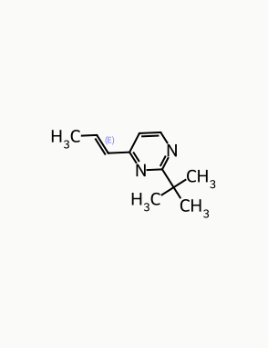 C/C=C/c1ccnc(C(C)(C)C)n1